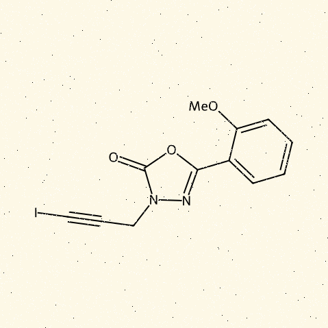 COc1ccccc1-c1nn(CC#CI)c(=O)o1